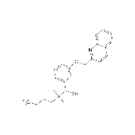 CC(C)(CCCC(F)(F)F)C(O)c1cccc(OCc2ccc3ccccc3n2)c1